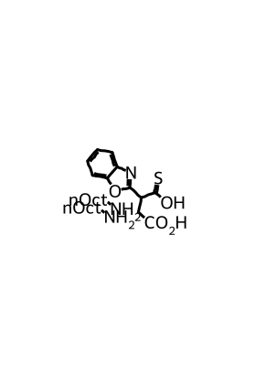 CCCCCCCCN.CCCCCCCCN.O=C(O)CC(C(O)=S)c1nc2ccccc2o1